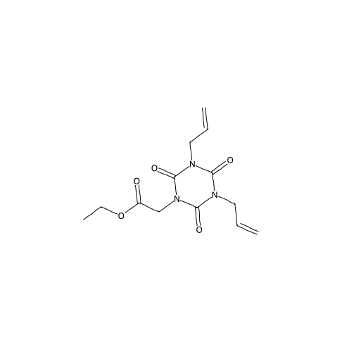 C=CCn1c(=O)n(CC=C)c(=O)n(CC(=O)OCC)c1=O